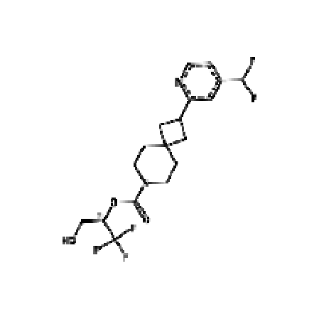 O=C(O[C@H](CO)C(F)(F)F)N1CCC2(CC1)CC(c1cc(C(F)F)ccn1)C2